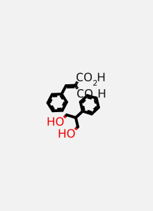 O=C(O)C(=Cc1ccccc1)C(=O)O.OCC(CO)c1ccccc1